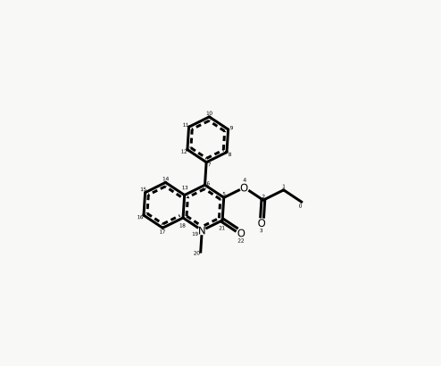 CCC(=O)Oc1c(-c2ccccc2)c2ccccc2n(C)c1=O